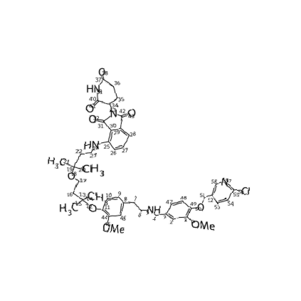 COc1cc(CNCCc2ccc(OC(C)(C)CCOC(C)(C)CCNc3cccc4c3C(=O)N(C3CCC(=O)NC3=O)C4=O)c(OC)c2)ccc1OCc1ccc(Cl)nc1